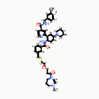 CC(=O)N1CCCN(C(=O)CCOCCSCc2cccc(C(=O)Nc3ccc(N4CCCCC4)cc3-c3cc(C(=O)NCc4cccc(C(F)(F)F)c4)ccn3)c2)CC1